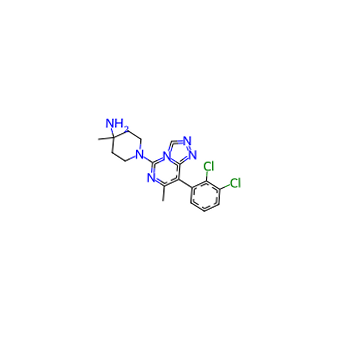 Cc1nc(N2CCC(C)(N)CC2)n2cnnc2c1-c1cccc(Cl)c1Cl